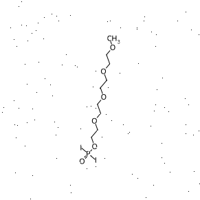 COCCOCCOCCOCCOP(=O)(I)I